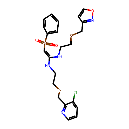 O=S(=O)(C=C(NCCSCc1ccon1)NCCSCc1ncccc1Cl)c1ccccc1